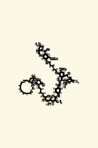 CCC(CC)(CC1CCCCCCCCCCCCC1)SC1CC(=O)N(CCCCCC(=O)N[C@H](C(=O)N[C@@H](C)C(=O)Nc2ccc(COC(=O)N3c4cc(OCCCCCOc5cc6c(cc5OC)C(=O)N5C=C(C)C[C@H]5C=N6)c(OC)cc4C(=O)N4C=C(C)C[C@H]4[C@@H]3O)cc2)C(C)C)C1=O